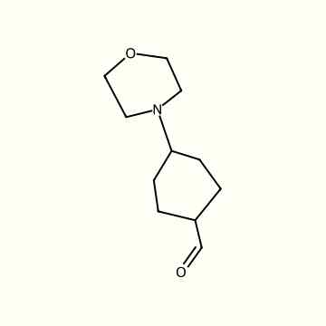 O=CC1CCC(N2CCOCC2)CC1